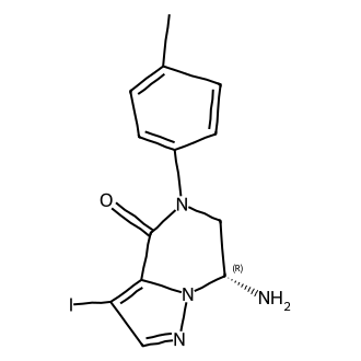 Cc1ccc(N2C[C@H](N)n3ncc(I)c3C2=O)cc1